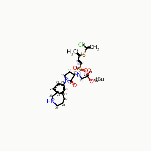 C=C(Cl)SC(=C)/C=C/S(=O)(=O)N(CC(=O)OC(C)(C)C)[C@H]1CCN(c2ccc3c(c2)CCCNC3)C1=O